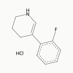 Cl.Fc1ccccc1C1=CNCCC1